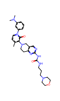 Cc1ccn(-c2cccc(N(C)C)c2)c(=O)c1N1CCc2nc(NC(=O)NCCCN3CCOCC3)ncc2C1